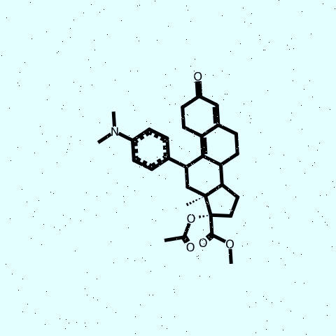 COC(=O)[C@]1(OC(C)=O)CCC2C3CCC4=CC(=O)CCC4=C3C(c3ccc(N(C)C)cc3)C[C@@]21C